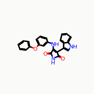 O=C1NC(=O)C(c2c[nH]c3ccccc23)=C1Nc1cccc(Oc2ccccc2)c1